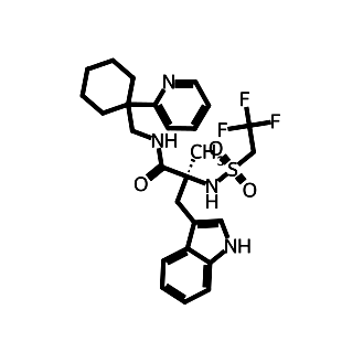 C[C@@](Cc1c[nH]c2ccccc12)(NS(=O)(=O)CC(F)(F)F)C(=O)NCC1(c2ccccn2)CCCCC1